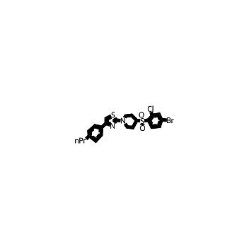 CCCc1ccc(-c2csc(N3CCC(S(=O)(=O)c4ccc(Br)cc4Cl)CC3)n2)cc1